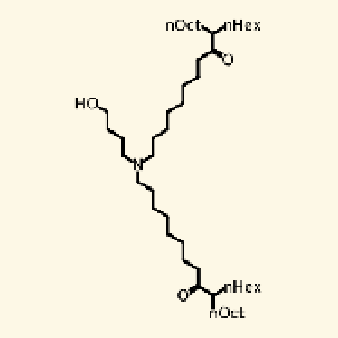 CCCCCCCCC(CCCCCC)C(=O)CCCCCCCCN(CCCCO)CCCCCCCCC(=O)C(CCCCCC)CCCCCCCC